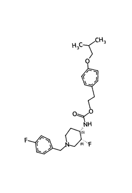 CC(C)COc1ccc(CCOC(=O)N[C@H]2CCN(Cc3ccc(F)cc3)C[C@H]2F)cc1